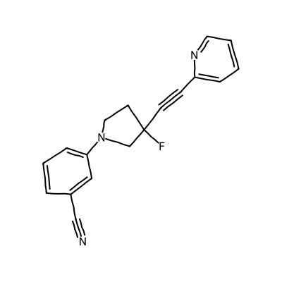 N#Cc1cccc(N2CCC(F)(C#Cc3ccccn3)C2)c1